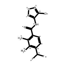 Cc1c(C(=O)Nc2nonc2Cl)ccc(C(F)F)c1C